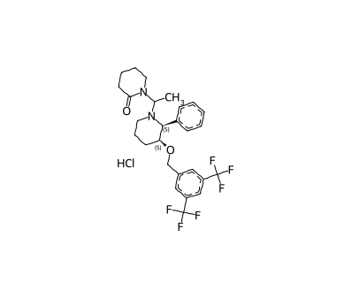 CC(N1CCCCC1=O)N1CCC[C@H](OCc2cc(C(F)(F)F)cc(C(F)(F)F)c2)[C@@H]1c1ccccc1.Cl